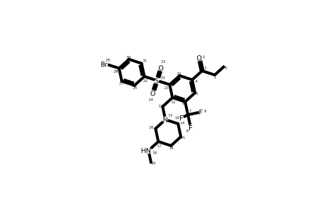 CCC(=O)c1cc(C(F)(F)F)c(CN2CCCC(NC)C2)c(S(=O)(=O)c2ccc(Br)cc2)c1